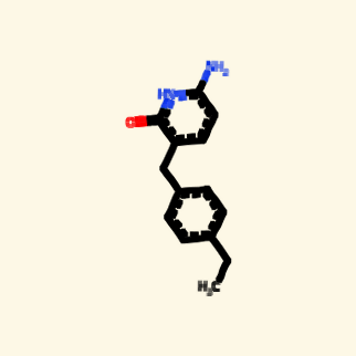 CCc1ccc(Cc2ccc(N)[nH]c2=O)cc1